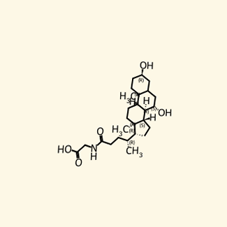 C[C@H](CCC(=O)NCC(=O)O)[C@H]1CC[C@H]2[C@@H]3[C@@H](O)CC4C[C@H](O)CC[C@]4(C)[C@H]3CC[C@]12C